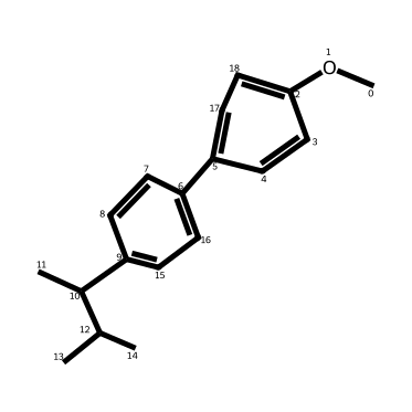 COc1ccc(-c2ccc(C(C)C(C)C)cc2)cc1